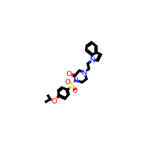 CC(C)Oc1ccc(S(=O)(=O)N2CCN(CCn3ccc4ccccc43)CC2=O)cc1